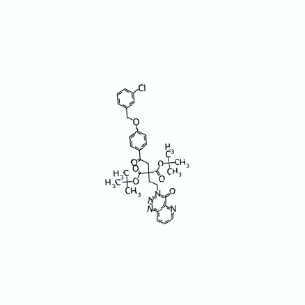 CC(C)(C)OC(=O)C(CCn1nnc2cccnc2c1=O)(CC(=O)c1ccc(OCc2cccc(Cl)c2)cc1)C(=O)OC(C)(C)C